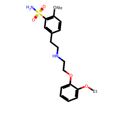 CCOc1ccccc1OCCNCCc1ccc(OC)c(S(N)(=O)=O)c1